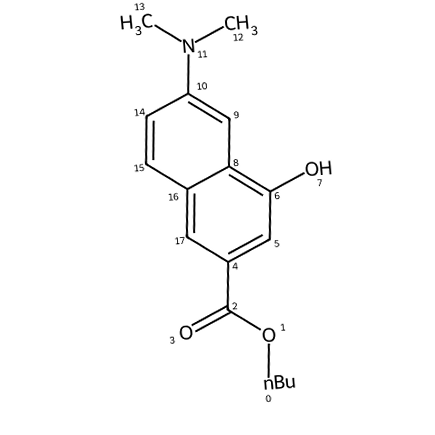 CCCCOC(=O)c1cc(O)c2cc(N(C)C)ccc2c1